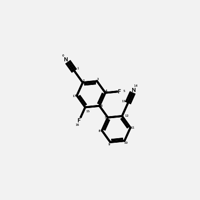 N#Cc1cc(F)c(-c2ccccc2C#N)c(F)c1